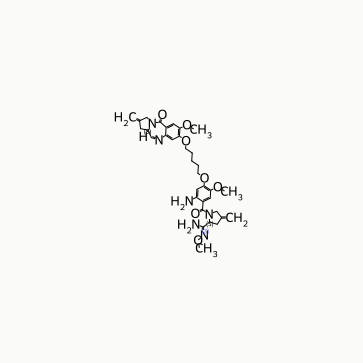 C=C1C[C@H]2C=Nc3cc(OCCCCCOc4cc(N)c(C(=O)N5CC(=C)C[C@H]5/C(N)=N/OC)cc4OC)c(OC)cc3C(=O)N2C1